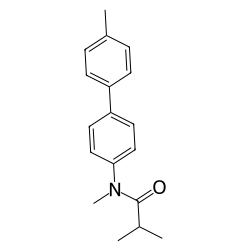 Cc1ccc(-c2ccc(N(C)C(=O)C(C)C)cc2)cc1